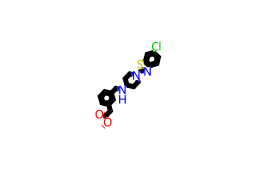 COC(=O)Cc1cccc(CNC2CCN(c3nc4ccc(Cl)cc4s3)CC2)c1